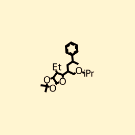 CCC1C(C(COC(C)C)CC(C)c2ccccc2)OC2OC(C)(C)OC21